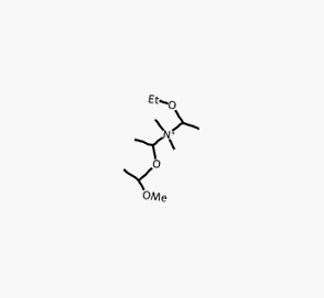 CCOC(C)[N+](C)(C)C(C)OC(C)OC